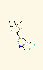 Cc1ncc(B2OC(C)(C)C(C)(C)O2)cc1C(F)(F)F